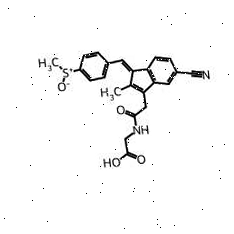 CC1=C(CC(=O)NCC(=O)O)c2cc(C#N)ccc2C1=Cc1ccc([S+](C)[O-])cc1